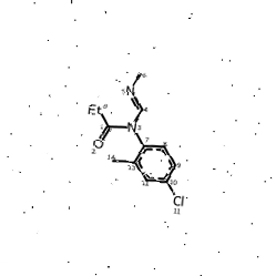 CCC(=O)N(C=NC)c1ccc(Cl)cc1C